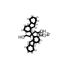 Cl.Cl.OCCC(CCO)(c1cccc2c1Cc1ccccc1-2)c1cccc2c1Cc1ccccc1-2.[Zr]